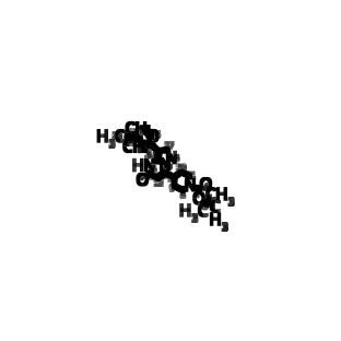 CC(C)(C)OC(=O)N1CCC(c2cc(=O)[nH]c3c(-c4nc(C(C)(C)C)no4)cnn23)CC1